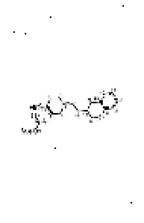 COC(=O)OC1=C(O)CCN(CCC2COc3ccccc3C2)C1